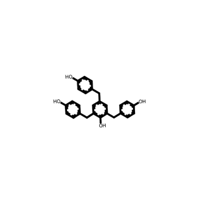 Oc1ccc(Cc2cc(Cc3ccc(O)cc3)c(O)c(Cc3ccc(O)cc3)c2)cc1